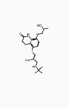 CC(O)COc1ccc(OCC(O)CNC(C)(C)C)c2c1NC(=O)CC2